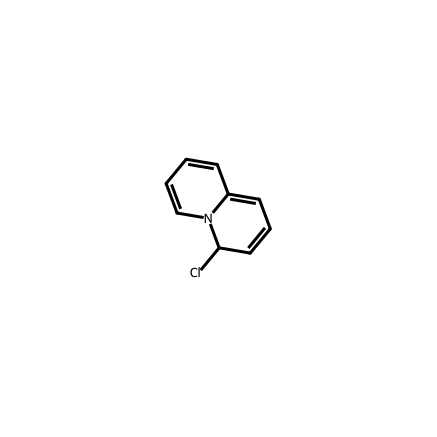 ClC1C=CC=C2C=CC=CN21